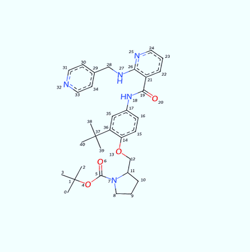 CC(C)(C)OC(=O)N1CCCC1COc1ccc(NC(=O)c2cccnc2NCc2ccncc2)cc1C(C)(C)C